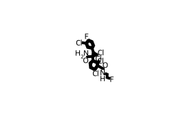 NC(=O)C1(c2ccc(Cl)c(C(=O)NCCF)c2Cl)C(c2ccc(F)c(Cl)c2)C1(Cl)Cl